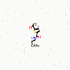 COCCNC(=O)c1ccc(C(=O)C(F)(F)F)s1